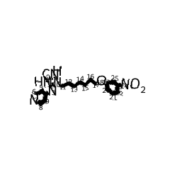 N#CN/C(=N\c1ccncc1)NCCCCCCCOc1cccc([N+](=O)[O-])c1